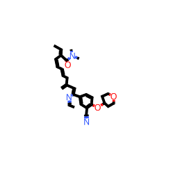 C=C(/C=C(\N=C/C)c1ccc(OC2CCOCC2)c(C#N)c1)C/C=C/C=C\C(=C/C)C(=O)N(C)C